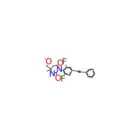 COCC1(C)CC(=O)N(c2c(F)cc(C#Cc3ccccc3)cc2F)C(=O)N1C